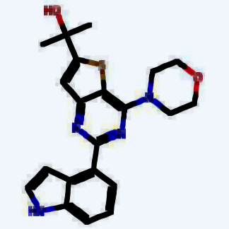 CC(C)(O)c1cc2nc(-c3cccc4[nH]ccc34)nc(N3CCOCC3)c2s1